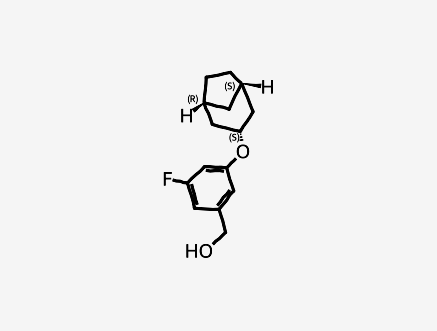 OCc1cc(F)cc(O[C@@H]2C[C@@H]3CC[C@@H](C3)C2)c1